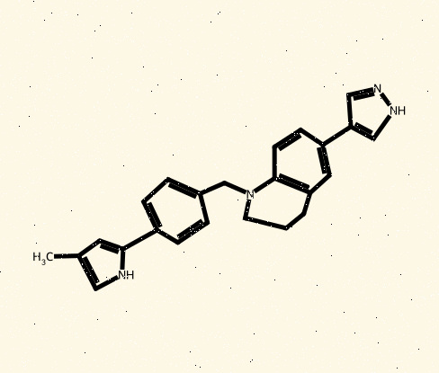 Cc1c[nH]c(-c2ccc(CN3CCCc4cc(-c5cn[nH]c5)ccc43)cc2)c1